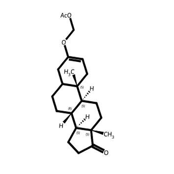 CC(=O)OCOC1=CC[C@@]2(C)C(CC[C@@H]3[C@@H]2CC[C@]2(C)C(=O)CC[C@@H]32)C1